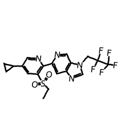 CCS(=O)(=O)c1cc(C2CC2)cnc1-c1cc2ncn(CC(F)(F)C(F)(F)F)c2cn1